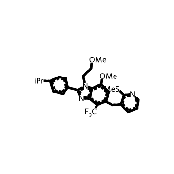 COCCn1c(-c2ccc(C(C)C)cc2)nc2c(C(F)(F)F)c(Cc3cccnc3SC)cc(OC)c21